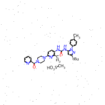 CS(=O)(=O)O.Cc1ccc(-n2nc(C(C)(C)C)cc2NC(=O)Nc2ccc(N3CCN(C(=O)c4ccccn4)CC3)nc2C)cc1